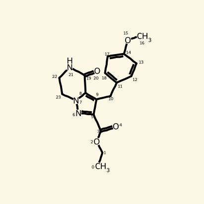 CCOC(=O)c1nn2c(c1Cc1ccc(OC)cc1)C(=O)NCC2